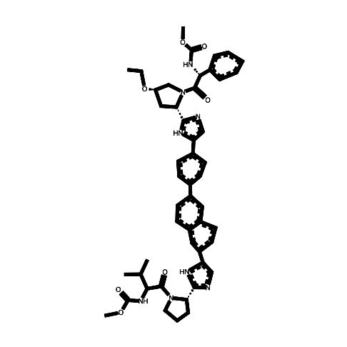 CCO[C@H]1C[C@@H](c2ncc(-c3ccc(-c4ccc5cc(-c6cnc([C@@H]7CCCN7C(=O)C(NC(=O)OC)C(C)C)[nH]6)ccc5c4)cc3)[nH]2)N(C(=O)[C@H](NC(=O)OC)c2ccccc2)C1